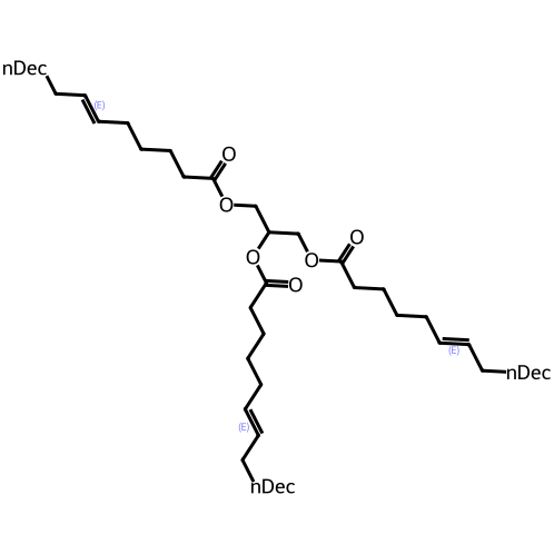 CCCCCCCCCCC/C=C/CCCCC(=O)OCC(COC(=O)CCCC/C=C/CCCCCCCCCCC)OC(=O)CCCC/C=C/CCCCCCCCCCC